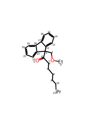 CCOCC1(C(=O)CCCCCC(C)C)c2ccccc2-c2ccccc21